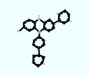 Clc1ccc2c(c1)N(c1ccc(-c3ccccc3)cc1)c1ccc(-c3ccccc3)cc1O2